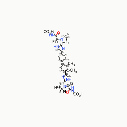 CCC(C(=O)NC(=O)O)N1C(c2nc(-c3ccc(-c4ccc(-c5c[nH]c([C@@H]6C[C@H]7C[C@H]7N6[C@@H](CC)C(=O)NC(=O)O)n5)c(C)c4C)cc3)c[nH]2)CC2CC21